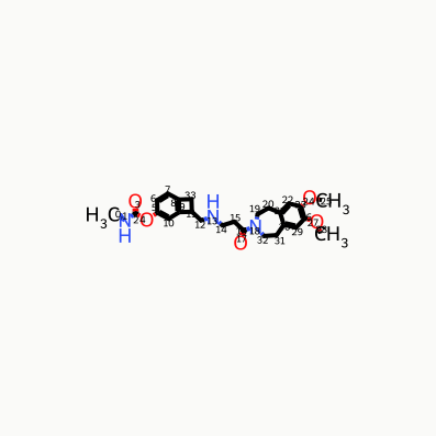 CNC(=O)Oc1ccc2c(c1)C(CNCCC(=O)N1CCc3cc(OC)c(OC)cc3CC1)C2